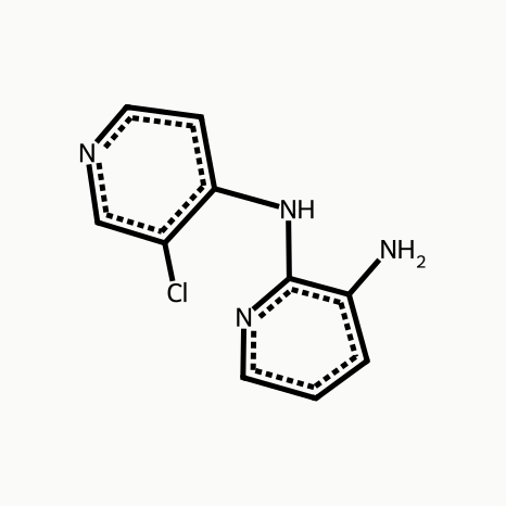 Nc1cccnc1Nc1ccncc1Cl